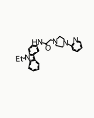 CCn1c2ccccc2c2cc(NC(=O)CN3CCN(c4ccccn4)CC3)ccc21